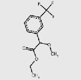 CCOC(=O)C(OC)c1cccc(C(F)(F)F)c1